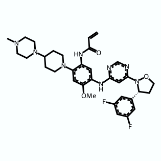 C=CC(=O)Nc1cc(Nc2cc(N3OCC[C@@H]3c3cc(F)cc(F)c3)ncn2)c(OC)cc1N1CCC(N2CCN(C)CC2)CC1